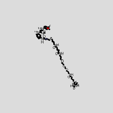 Cc1cc(Nc2cc(Nc3cccc(NC(=O)/C=C/CN(C)CCCCNC(=O)CCCC(=O)NCCCOCCOCCOCCCNC(=O)CCCC[C@@H]4SC[C@@H]5NC(=O)N[C@@H]54)c3)ncn2)ccc1F